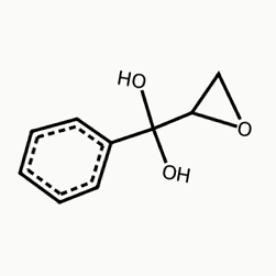 OC(O)(c1ccccc1)C1CO1